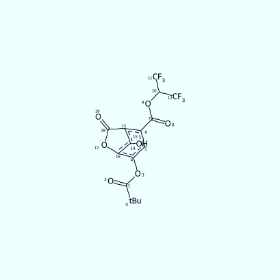 CC(C)(C)C(=O)Oc1cc(C(=O)OC(C(F)(F)F)C(F)(F)F)c2c(O)c1OC2=O